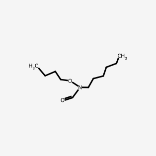 CCCCCCN(C=O)OCCCC